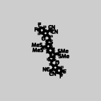 CSC(SC)=C1c2cc3c(cc2-c2sc(/C=C4\C(=O)c5cc(F)c(F)cc5C4=C(C#N)C#N)cc21)C(=C(SC)SC)c1cc(/C=C2\C(=O)c4cc(F)c(F)cc4C2=C(C#N)C#N)sc1-3